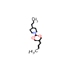 CCCCC1COC(N2CCC(CCC)CC2)OC1